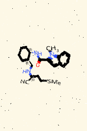 CSCC[C@@H](C#N)NC[C@H]1CCCC[C@@H]1NC(=O)c1cc2ccccc2n1C